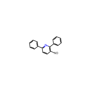 O=Nc1ccc(-c2ccccc2)nc1-c1ccccc1